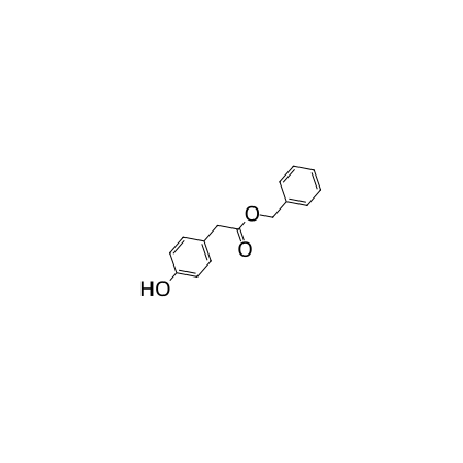 O=C(Cc1ccc(O)cc1)OCc1ccccc1